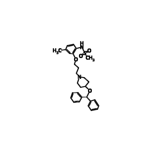 Cc1ccc(NS(C)(=O)=O)c(OCCCN2CCC(OC(c3ccccc3)c3ccccc3)CC2)c1